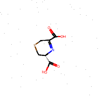 O=C(O)C1=N[C@H](C(=O)O)CSC1